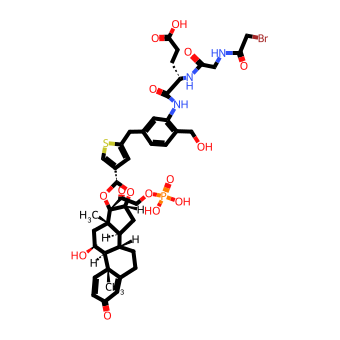 C[C@]12C=CC(=O)C=C1CC[C@@H]1[C@@H]2[C@@H](O)C[C@@]2(C)[C@H]1C[C@H]1O[C@@H](c3csc(Cc4ccc(CO)c(NC(=O)[C@H](CCC(=O)O)NC(=O)CNC(=O)CBr)c4)c3)O[C@]12C(=O)COP(=O)(O)O